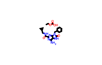 CCOC(=O)O.Nc1nc(C(=O)NCC2CC2)nc2c1[nH]c(=O)n2Cc1ccccc1